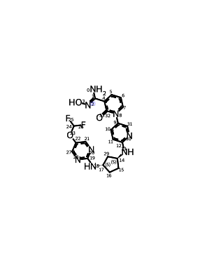 N/C(=N\O)c1cccn(-c2ccc(N[C@H]3CC[C@H](Nc4ncc(OC(F)F)cn4)C3)nc2)c1=O